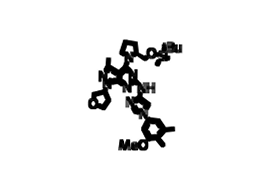 COc1cc(-n2cnc(Nc3nc(N4CCC[C@H]4CO[Si](C)(C)C(C)(C)C)c4c(C)nn(C5CCOC5)c4n3)c2)cc(C)c1C